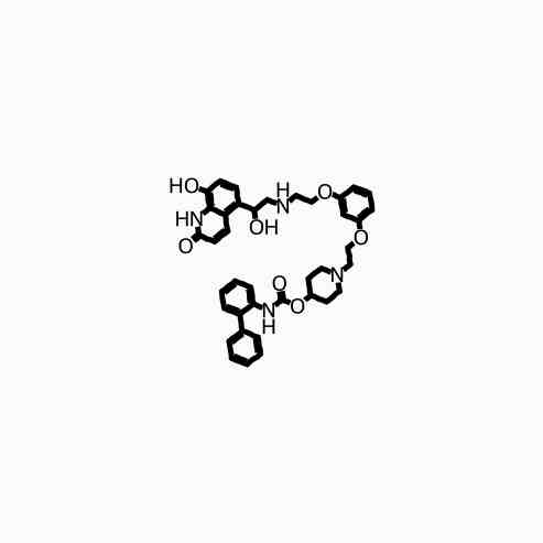 O=C(Nc1ccccc1-c1ccccc1)OC1CCN(CCOc2cccc(OCCNCC(O)c3ccc(O)c4[nH]c(=O)ccc34)c2)CC1